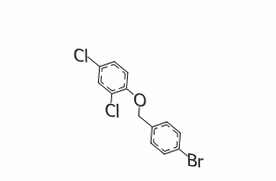 Clc1ccc(OCc2ccc(Br)cc2)c(Cl)c1